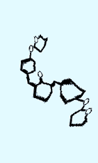 O=C1C(=Cc2ccc(OC3CCCCO3)cc2)CCCC1=Cc1ccc(OC2CCCCO2)cc1